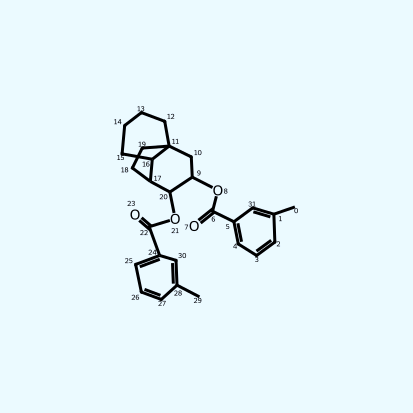 Cc1cccc(C(=O)OC2CC34CCCCC3C(CC4)C2OC(=O)c2cccc(C)c2)c1